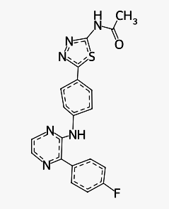 CC(=O)Nc1nnc(-c2ccc(Nc3nccnc3-c3ccc(F)cc3)cc2)s1